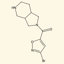 O=C(c1cc(Br)no1)N1CC2CCNCC2C1